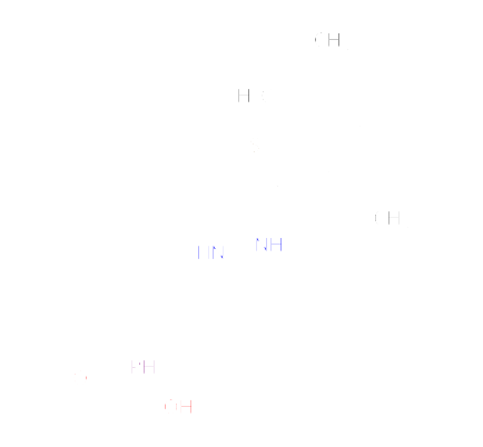 CC(C)CC(C)C(=S)NNCC[PH](=O)O